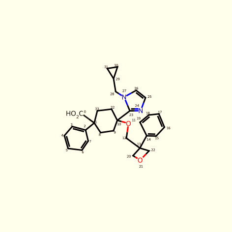 O=C(O)C1(c2ccccc2)CCC(OCC2(c3ccccc3)COC2)(c2nccn2CC2CC2)CC1